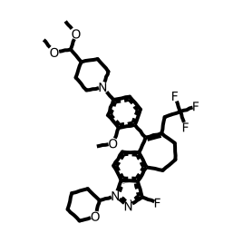 COc1cc(N2CCC(C(OC)OC)CC2)ccc1C1=C(CC(F)(F)F)CCCc2c1ccc1c2c(F)nn1C1CCCCO1